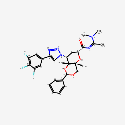 CC(=NC(=O)[C@H]1C[C@@H](n2cc(-c3cc(F)c(F)c(F)c3)nn2)[C@H]2OC(c3ccccc3)OC[C@H]2O1)N(C)C